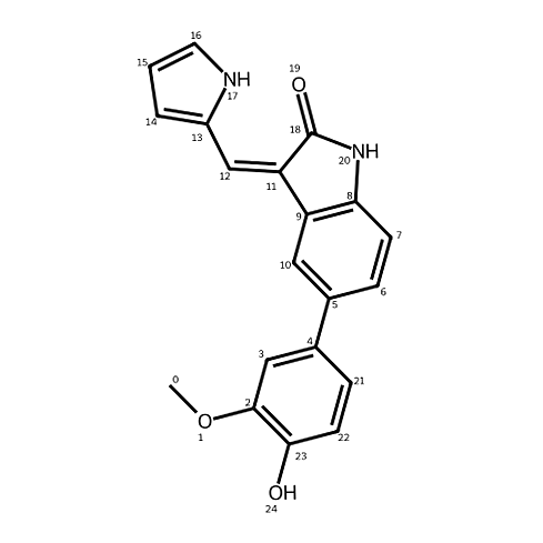 COc1cc(-c2ccc3c(c2)C(=Cc2ccc[nH]2)C(=O)N3)ccc1O